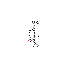 c1ccc(N(c2ccccc2)c2ccc3c(c2)oc2c4c5c(cc23)Oc2cc3c(cc2B5c2ccccc2O4)B2c4ccccc4N(c4ccccc4)c4c2c(cc2c4oc4cc(N(c5ccccc5)c5ccccc5)ccc42)N3c2ccccc2)cc1